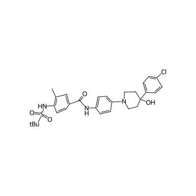 Cc1cc(C(=O)Nc2ccc(N3CCC(O)(c4ccc(Cl)cc4)CC3)cc2)ccc1NS(=O)(=O)C(C)(C)C